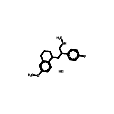 CNCC(CC1CCCc2cc(OC)ccc21)c1ccc(F)cc1.Cl